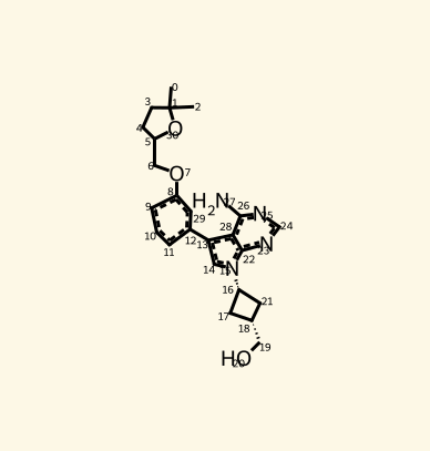 CC1(C)CCC(COc2cccc(-c3cn([C@H]4C[C@@H](CO)C4)c4ncnc(N)c34)c2)O1